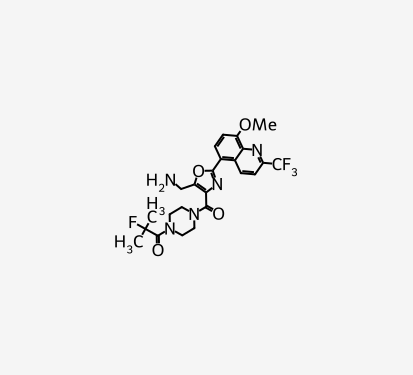 COc1ccc(-c2nc(C(=O)N3CCN(C(=O)C(C)(C)F)CC3)c(CN)o2)c2ccc(C(F)(F)F)nc12